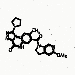 COc1cc2c(cn1)N(C(=O)c1cc3[nH]c(=O)c4nnc(C5CCCC5)n4c3cc1C)CC2